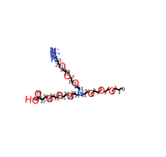 CCCOCCOCCOCCN(CCOCCOCCOCCN=[N+]=[N-])CCOCCOCCOCCC(=O)O